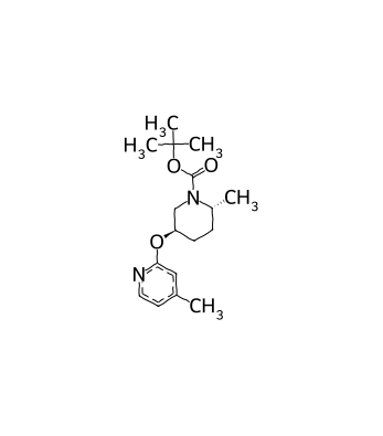 Cc1ccnc(O[C@@H]2CC[C@@H](C)N(C(=O)OC(C)(C)C)C2)c1